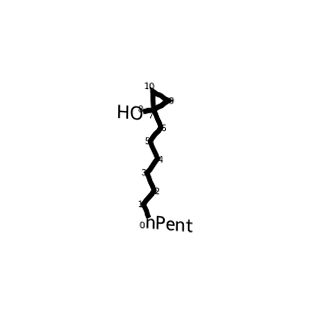 CCCCCCCCCCCC1(O)CC1